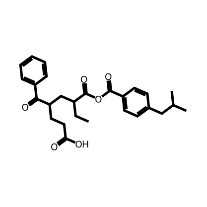 CCC(CC(CCC(=O)O)C(=O)c1ccccc1)C(=O)OC(=O)c1ccc(CC(C)C)cc1